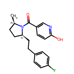 C[C@@H]1CC[C@H](CCc2ccc(F)cc2)N1C(=O)c1ccc(O)nc1